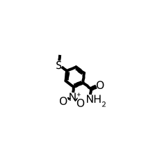 CSc1ccc(C(N)=O)c([N+](=O)[O-])c1